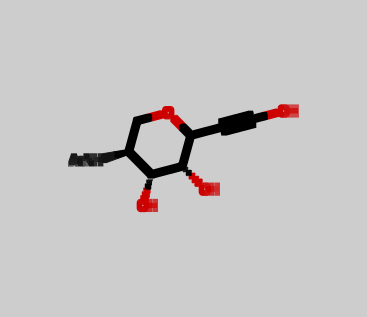 CC(=O)N[C@H]1COC(C#CO)[C@H](O)[C@@H]1O